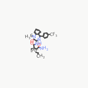 C=CC[C@H](C(N)=O)[C@@H](CC(C)C)C(=O)N[C@@H]1N=C(c2ccc(C(F)(F)F)cc2)c2ccccc2N(C)C1=O